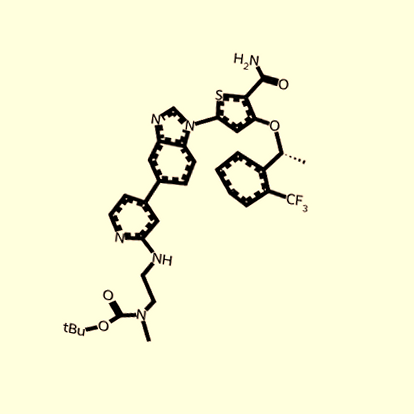 C[C@@H](Oc1cc(-n2cnc3cc(-c4ccnc(NCCN(C)C(=O)OC(C)(C)C)c4)ccc32)sc1C(N)=O)c1ccccc1C(F)(F)F